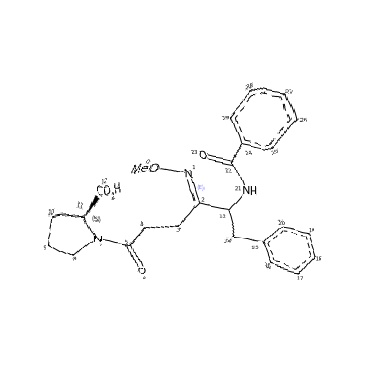 CO/N=C(\CCC(=O)N1CCC[C@H]1C(=O)O)C(Cc1ccccc1)NC(=O)c1ccccc1